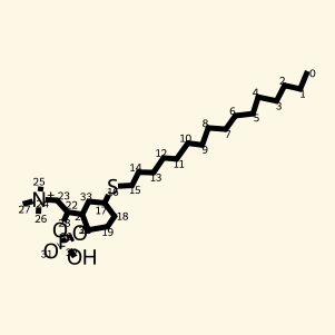 CCCCCCCCCCCCCCCCSC1CCCC(C(C[N+](C)(C)C)OP(=O)([O-])O)C1